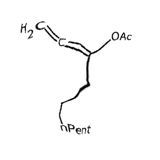 C=C=C(CCCCCCC)OC(C)=O